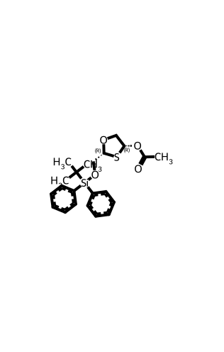 CC(=O)O[C@H]1CO[C@@H](CO[Si](c2ccccc2)(c2ccccc2)C(C)(C)C)S1